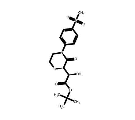 CC(C)(C)OC(=O)[C@H](O)[C@H]1OCCN(c2ccc(S(C)(=O)=O)cc2)C1=O